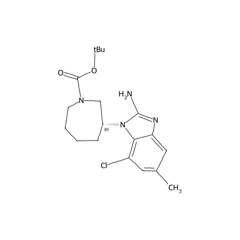 Cc1cc(Cl)c2c(c1)nc(N)n2[C@@H]1CCCCN(C(=O)OC(C)(C)C)C1